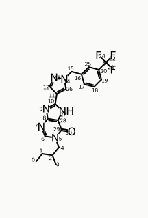 CCC(C)Cn1cnc2nc(-c3cnn(Cc4cccc(C(F)(F)F)c4)c3)[nH]c2c1=O